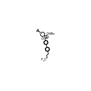 CC(C)(C)OC(=O)C1(S(=O)(=O)c2ccc(-c3ccc(CCCC(F)(F)F)cc3)cc2)CCN(C2CC2)CC1